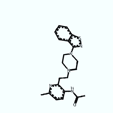 CC(=O)Nc1ccc(C)nc1CCN1CCN(c2nsc3ccccc23)CC1